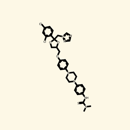 CN(C)C(=S)Nc1ccc(N2CCN(c3ccc(OCC4COC(Cn5cncn5)(c5ccc(Cl)cc5Cl)O4)cc3)CC2)cc1